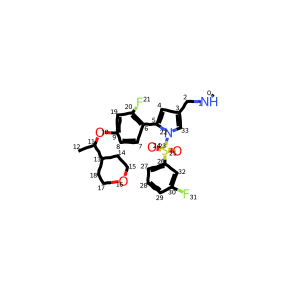 CNCc1cc(-c2ccc(OC(C)C3CCOCC3)cc2F)n(S(=O)(=O)c2cccc(F)c2)c1